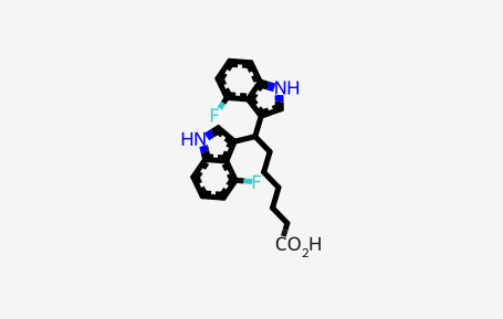 O=C(O)CCCCCC(c1c[nH]c2cccc(F)c12)c1c[nH]c2cccc(F)c12